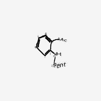 CCCCCNc1ccccc1C(C)=O